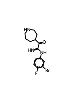 N=C(Nc1ccc(F)c(Br)c1)C(=O)C1CCCNCC1